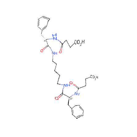 O=C(O)CCC(=O)N[C@@H](Cc1ccccc1)C(=O)NCCCCCNC(=O)[C@H](Cc1ccccc1)NC(=O)CCC(=O)O